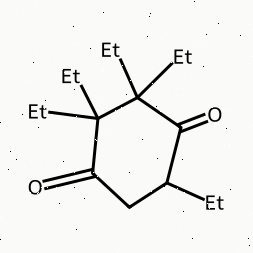 CCC1CC(=O)C(CC)(CC)C(CC)(CC)C1=O